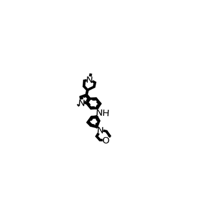 CN1CCC(c2cn(C)c3cc(Nc4cccc(N5CCOCC5)c4)ccc23)CC1